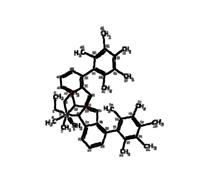 C[CH2][Hf]([CH3])([CH3])(=[SiH2])([CH2]C)([CH]1C=Cc2c(-c3c(C)c(C)c(C)c(C)c3C)cccc21)[CH]1C=Cc2c(-c3c(C)c(C)c(C)c(C)c3C)cccc21